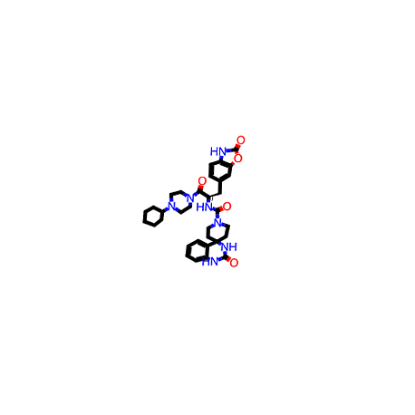 O=C1Nc2ccccc2C2(CCN(C(=O)N[C@H](Cc3ccc4[nH]c(=O)oc4c3)C(=O)N3CCN(C4CCCCC4)CC3)CC2)N1